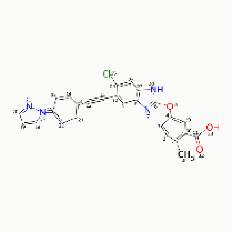 Cc1ccc(Oc2nc3cc(C#Cc4ccc(-n5cccn5)cc4)c(Cl)cc3[nH]2)cc1C(=O)O